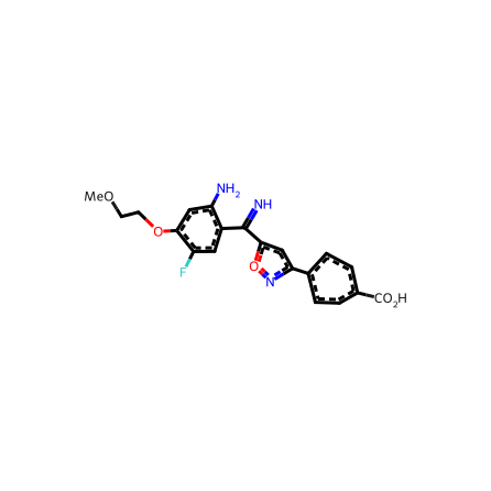 COCCOc1cc(N)c(C(=N)c2cc(-c3ccc(C(=O)O)cc3)no2)cc1F